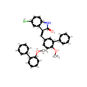 COc1ccc(C=C2C(=O)Nc3ccc(Br)cc32)cc1-c1ccccc1.COc1ccccc1-c1ccccc1